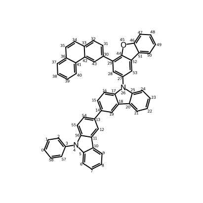 c1ccc(-n2c3ccccc3c3cc(-c4ccc5c(c4)c4ccccc4n5-c4cc(-c5ccc6ccc7ccccc7c6c5)c5oc6ccccc6c5c4)ccc32)cc1